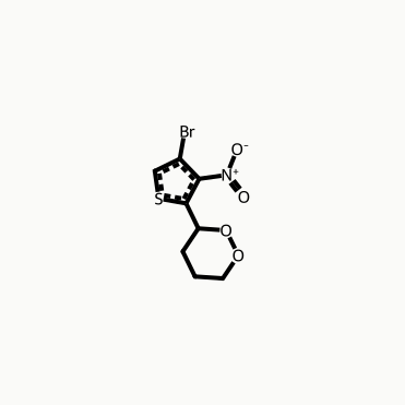 O=[N+]([O-])c1c(Br)csc1C1CCCOO1